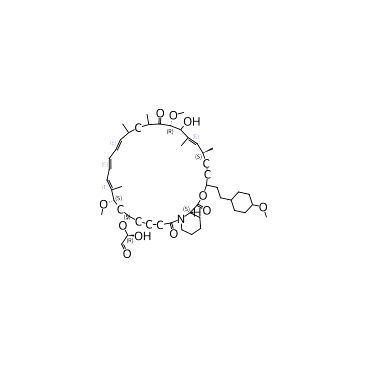 COC1CCC(CCC2CC[C@H](C)/C=C(\C)C(O)[C@@H](OC)C(=O)C(C)CC(C)/C=C/C=C/C=C(\C)[C@@H](OC)C[C@@H](O[C@@H](O)C=O)CCCC(=O)N3CCCC[C@H]3C(=O)O2)CC1